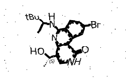 CC(Nc1nc2c([C@H](C)O)c[nH]c(=O)c2c2cc(Br)ccc12)C(C)(C)C